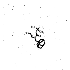 CC(C)(C)OC(=O)N(CCS)CC12CC3CC(CC(C3)C1)C2